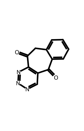 O=C1c2ccccc2CC(=O)c2nnncc21